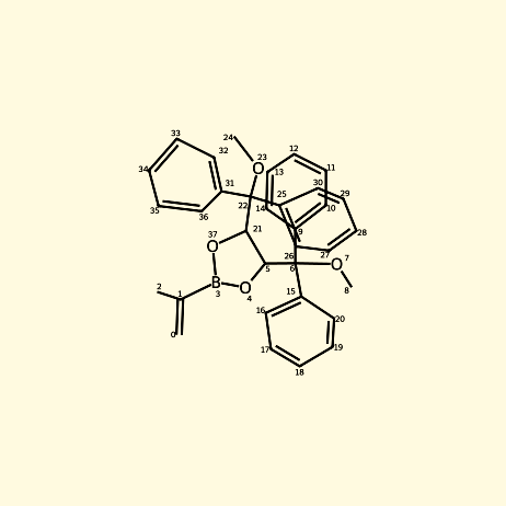 C=C(C)B1OC(C(OC)(c2ccccc2)c2ccccc2)C(C(OC)(c2ccccc2)c2ccccc2)O1